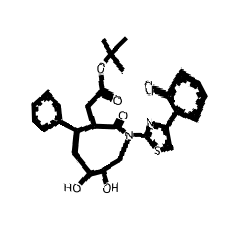 CC(C)(C)OC(=O)CC1C(=O)N(c2nc(-c3ccccc3Cl)cs2)CC(O)C(O)CC1c1ccccc1